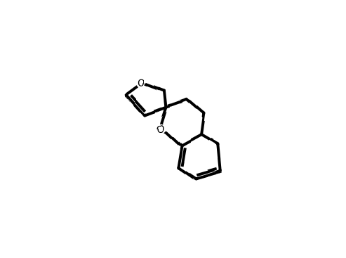 C1=CCC2CCC3(C=COC3)OC2=C1